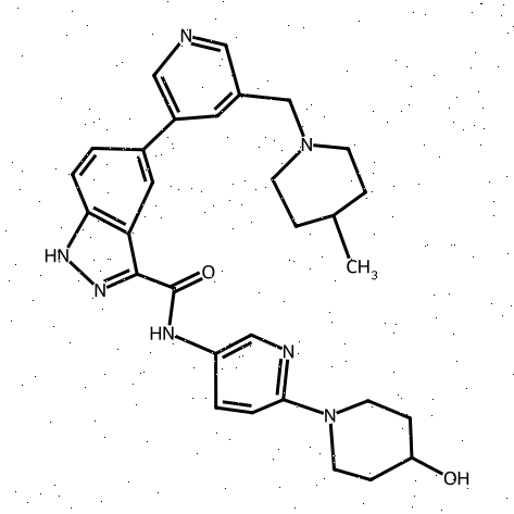 CC1CCN(Cc2cncc(-c3ccc4[nH]nc(C(=O)Nc5ccc(N6CCC(O)CC6)nc5)c4c3)c2)CC1